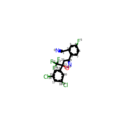 N#Cc1cc(F)ccc1C1=NOC(c2cc(Cl)cc(Cl)c2)(C(F)(F)F)C1